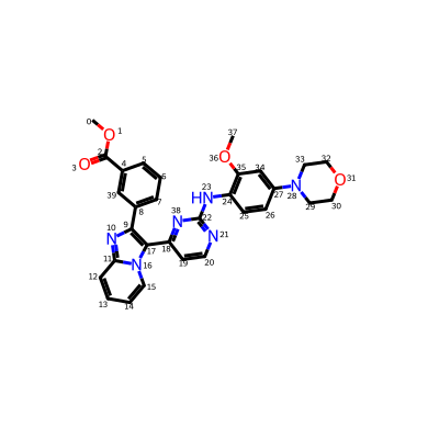 COC(=O)c1cccc(-c2nc3ccccn3c2-c2ccnc(Nc3ccc(N4CCOCC4)cc3OC)n2)c1